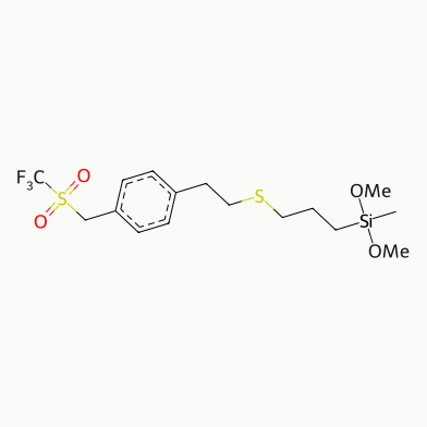 CO[Si](C)(CCCSCCc1ccc(CS(=O)(=O)C(F)(F)F)cc1)OC